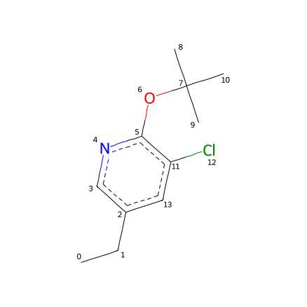 CCc1cnc(OC(C)(C)C)c(Cl)c1